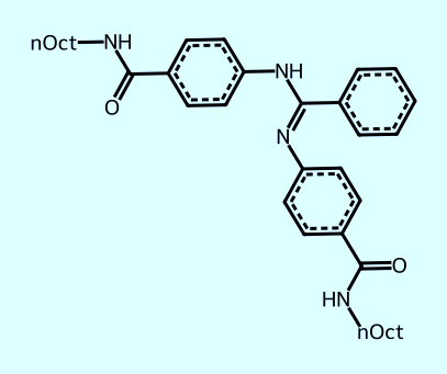 CCCCCCCCNC(=O)c1ccc(/N=C(/Nc2ccc(C(=O)NCCCCCCCC)cc2)c2ccccc2)cc1